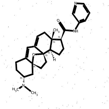 CN(C)[C@@H]1CCC2=CC3=CC[C@]4(C)[C@@H](C(=O)Nc5cccnc5)CC[C@H]4[C@@]34CC[C@]2(C1)O4